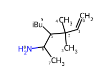 C=CC(C)(C)C(C(C)N)C(C)CC